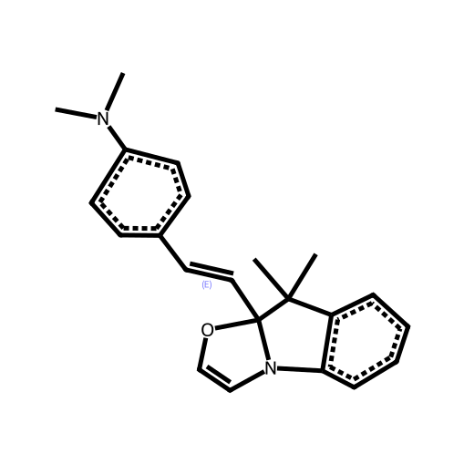 CN(C)c1ccc(/C=C/C23OC=CN2c2ccccc2C3(C)C)cc1